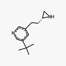 CC(C)(C)c1cncc(CC[C@@H]2CN2)c1